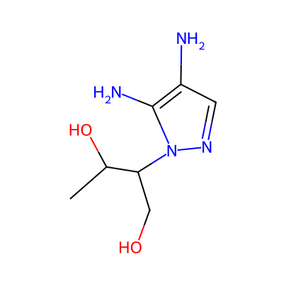 CC(O)C(CO)n1ncc(N)c1N